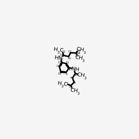 CC(C)CCC(C)Nc1cccc(NC(C)CCC(C)C)c1